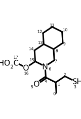 CC(CS)C(=O)N1CC2CCCCC2CC1OC(=O)O